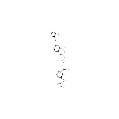 Cc1ncoc1COc1ccc2c(c1)C(O)CN(C[C@@H](O)CNC(=O)c1ccnc(NC3CCC3)c1)C2